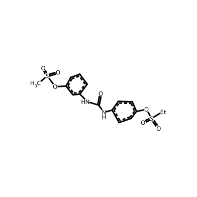 CCS(=O)(=O)Oc1ccc(NC(=O)Nc2cccc(OS(C)(=O)=O)c2)cc1